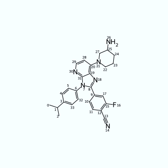 CC(C)c1ccc(-n2c(-c3ccc(C#N)c(F)c3)nc3c(N4CCCC(N)C4)ccnc32)cc1